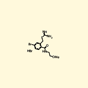 Br.COCCNC(=O)c1ccc(Br)cc1CSC(=N)N